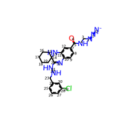 [N-]=[N+]=NCNC(=O)c1ccc2c(c1)NC1(CCCCC1)C(NNCc1cccc(Cl)c1)=N2